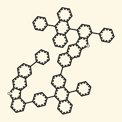 c1ccc(-c2ccc3cc4oc5cccc(-c6ccc(-c7c8ccccc8c(-c8ccccc8)c8cc(-c9ccc%10cc%11c(cc%10c9)oc9c(-c%10ccccc%10)ccc(-c%10c%12ccccc%12c(-c%12ccccc%12)c%12ccccc%10%12)c9%11)ccc78)cc6)c5c4cc3c2)cc1